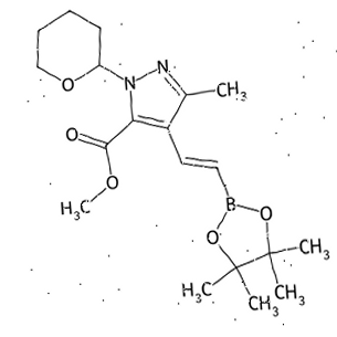 COC(=O)c1c(/C=C/B2OC(C)(C)C(C)(C)O2)c(C)nn1C1CCCCO1